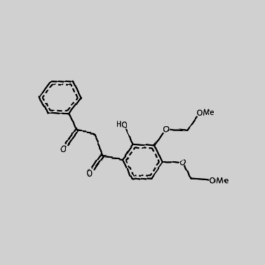 COCOc1ccc(C(=O)CC(=O)c2ccccc2)c(O)c1OCOC